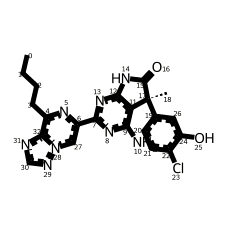 CCCCc1nc(-c2nc(N)c3c(n2)NC(=O)[C@@]3(C)c2ccc(Cl)c(O)c2)cn2ncnc12